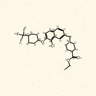 CCOC(=O)C1CCN(Cc2ccc3ccc(OC4CCC(C(F)(F)F)CC4)c(Cl)c3c2)CC1